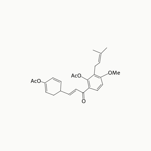 COc1ccc(C(=O)C=CC2C=CC(OC(C)=O)=CC2)c(OC(C)=O)c1CC=C(C)C